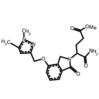 COC(=O)CCC(C(N)=O)N1Cc2c(OCc3cc(C)n(C)n3)cccc2C1=O